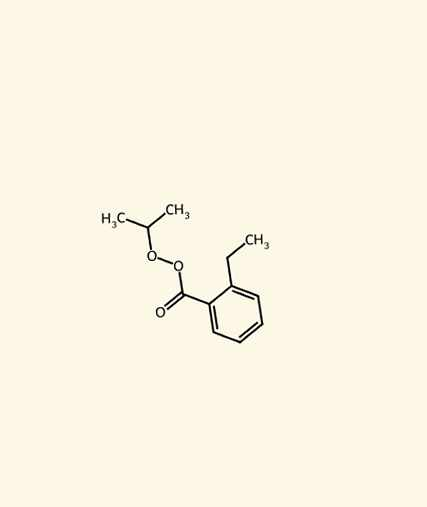 CCc1ccccc1C(=O)OOC(C)C